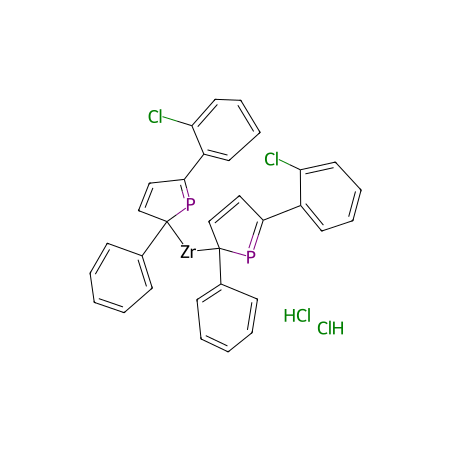 Cl.Cl.Clc1ccccc1C1=P[C]([Zr][C]2(c3ccccc3)C=CC(c3ccccc3Cl)=P2)(c2ccccc2)C=C1